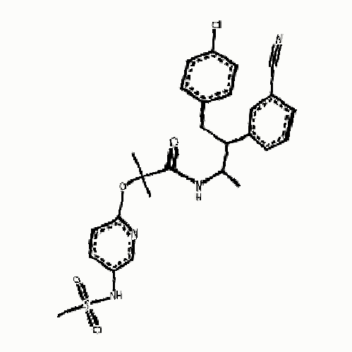 CC(NC(=O)C(C)(C)Oc1ccc(NS(C)(=O)=O)cn1)C(Cc1ccc(Cl)cc1)c1cccc(C#N)c1